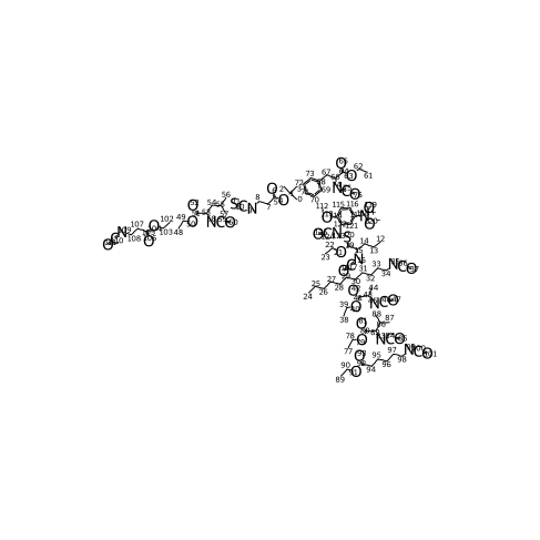 CC(C)(C)OC(=O)CCN=C=S.CCCC(N=C=O)C(=S)OCC.CCCCCCCCCCCN=C=O.CCOC(=O)C(C)N=C=O.CCOC(=O)C(CC(C)C)N=C=O.CCOC(=O)C(Cc1ccccc1)N=C=O.CCOC(=O)C(N=C=O)C(C)C.CCOC(=O)CCCCCN=C=O.CCOC(=O)CCN=C=O.COc1ccc([N+](=O)[O-])cc1N=C=O